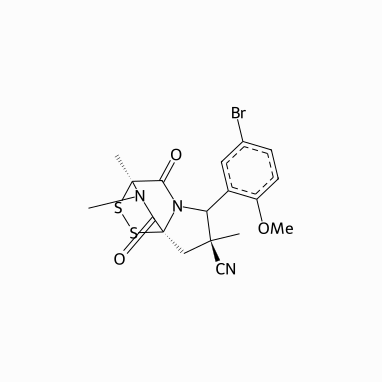 COc1ccc(Br)cc1C1N2C(=O)[C@]3(C)SS[C@@]2(C[C@]1(C)C#N)C(=O)N3C